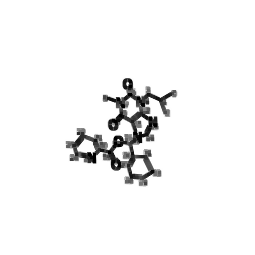 CC(C)Cn1c(=O)n(C)c(=O)c2c1ncn2C(OC(=O)c1ccccn1)c1ccccc1